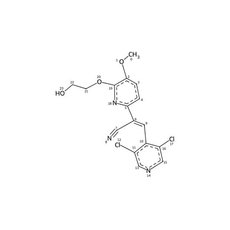 COc1ccc(/C(C#N)=C/c2c(Cl)cncc2Cl)nc1OCCO